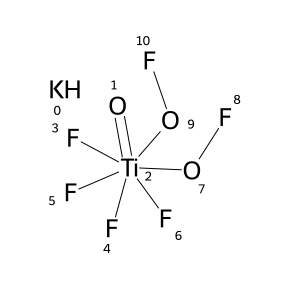 [KH].[O]=[Ti]([F])([F])([F])([F])([O]F)[O]F